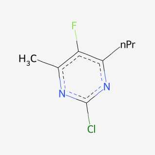 CCCc1nc(Cl)nc(C)c1F